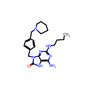 CCCCNc1nc(N)c2[nH]c(=O)n(Cc3ccc(CN4CCCCC4)cc3)c2n1